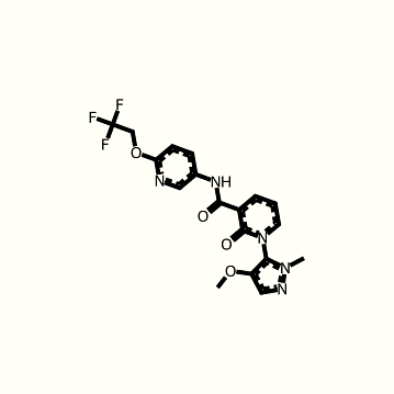 COc1cnn(C)c1-n1cccc(C(=O)Nc2ccc(OCC(F)(F)F)nc2)c1=O